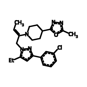 CC=C(Cn1nc(-c2cccc(Cl)c2)cc1CC)N1CCC(c2nnc(C)o2)CC1